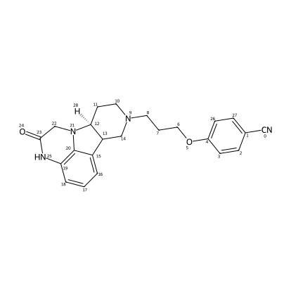 N#Cc1ccc(OCCCN2CC[C@H]3C(C2)c2cccc4c2N3CC(=O)N4)cc1